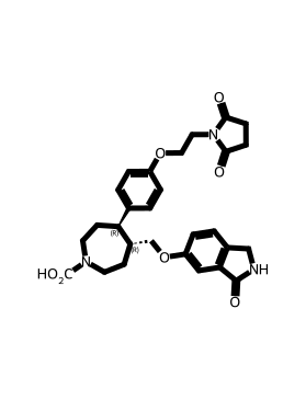 O=C1NCc2ccc(OC[C@@H]3CCN(C(=O)O)CC[C@H]3c3ccc(OCCN4C(=O)CCC4=O)cc3)cc21